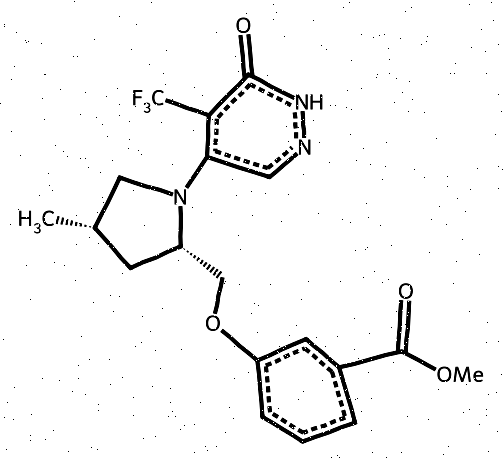 COC(=O)c1cccc(OC[C@@H]2C[C@H](C)CN2c2cn[nH]c(=O)c2C(F)(F)F)c1